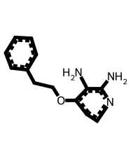 Nc1nccc(OCCc2ccccc2)c1N